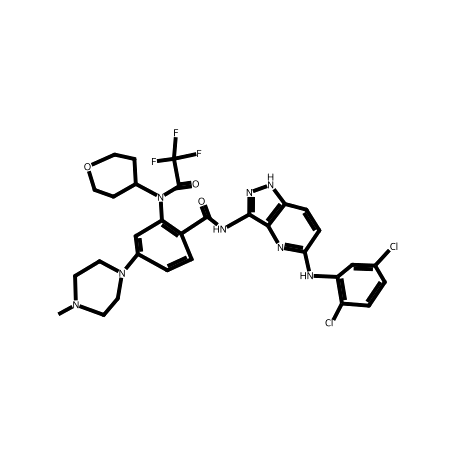 CN1CCN(c2ccc(C(=O)Nc3n[nH]c4ccc(Nc5cc(Cl)ccc5Cl)nc34)c(N(C(=O)C(F)(F)F)C3CCOCC3)c2)CC1